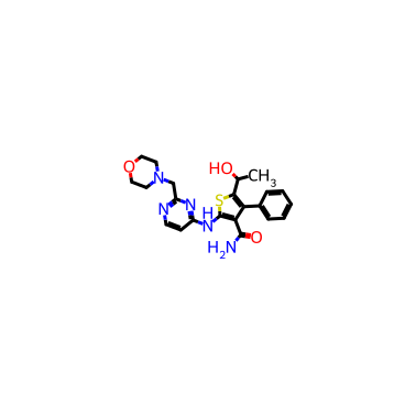 CC(O)c1sc(Nc2ccnc(CN3CCOCC3)n2)c(C(N)=O)c1-c1ccccc1